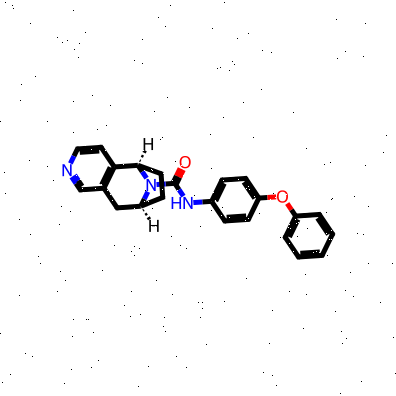 O=C(Nc1ccc(Oc2ccccc2)cc1)N1[C@H]2CC[C@@H]1c1ccncc1C2